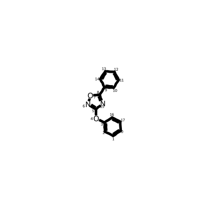 c1ccc(Oc2noc(-c3ccccc3)n2)cc1